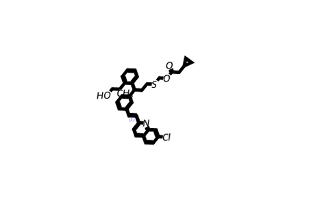 CC(CO)c1ccccc1C(CCSCOC(=O)CC1CC1)c1cccc(/C=C/c2ccc3ccc(Cl)cc3n2)c1